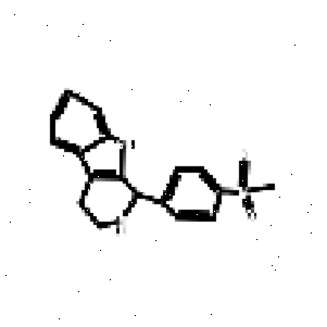 CS(=O)(=O)c1ccc(C2NCCc3c2[nH]c2ccccc32)cc1